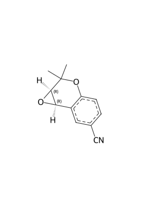 CC1(C)Oc2ccc(C#N)cc2[C@H]2O[C@H]21